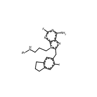 CC(C)NCCCn1c(Cc2cc3c(cc2I)CCC3)nc2c(N)nc(F)nc21